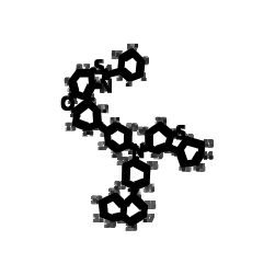 c1ccc(-c2nc3c(ccc4oc5ccc(-c6ccc(N(c7ccc(-c8cccc9ccccc89)cc7)c7ccc8sc9ccccc9c8c7)cc6)cc5c43)s2)cc1